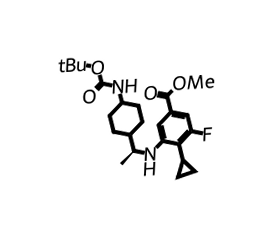 COC(=O)c1cc(F)c(C2CC2)c(N[C@@H](C)C2CCC(NC(=O)OC(C)(C)C)CC2)c1